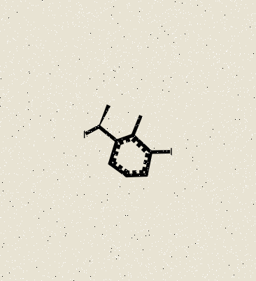 Cc1c(I)cccc1[C@H](C)I